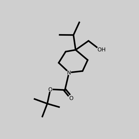 CC(C)C1(CO)CCN(C(=O)OC(C)(C)C)CC1